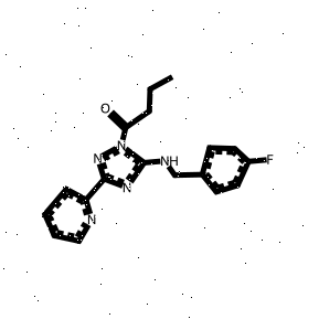 CCCC(=O)n1nc(-c2ccccn2)nc1NCc1ccc(F)cc1